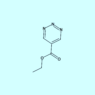 CCOC(=O)c1cnnnc1